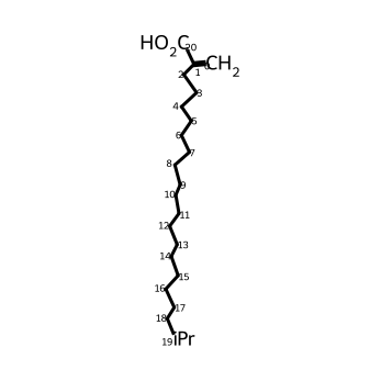 C=C(CCCCCCCCCCCCCCCCCC(C)C)C(=O)O